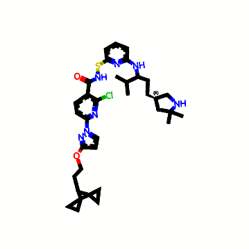 CC(C)C(CC[C@H]1CNC(C)(C)C1)Nc1cccc(SNC(=O)c2ccc(-n3ccc(OCCC4C5(CC5)C45CC5)n3)nc2Cl)n1